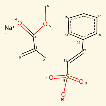 C=C(C)C(=O)OC.O=S(=O)([O-])C=Cc1ccccc1.[Na+]